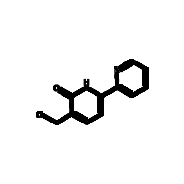 O=c1[nH]c(-c2ccccn2)ccc1CCl